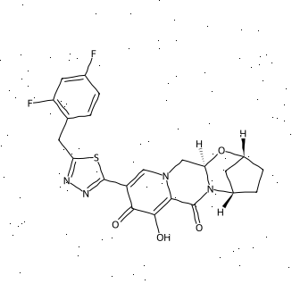 O=C1c2c(O)c(=O)c(-c3nnc(Cc4ccc(F)cc4F)s3)cn2C[C@H]2O[C@@H]3CC[C@@H](C3)N12